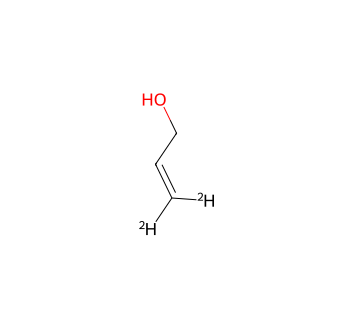 [2H]C([2H])=CCO